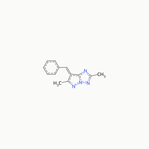 Cc1nc2/c(=C/c3ccccc3)c(C)nn2n1